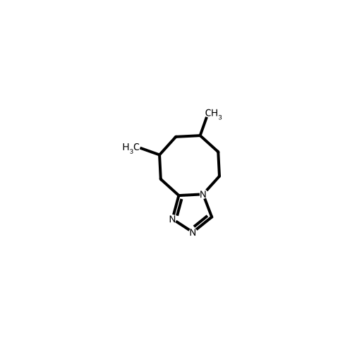 CC1CCn2cnnc2CC(C)C1